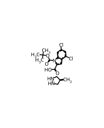 C=C1CNNC1.CC(C)(C)OC(=O)n1c(C(=O)O)cc2c(Cl)cc(Cl)cc21